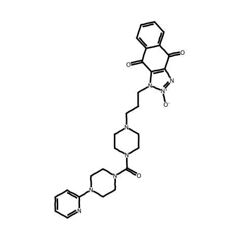 O=C1c2ccccc2C(=O)c2c1n[n+]([O-])n2CCCN1CCN(C(=O)N2CCN(c3ccccn3)CC2)CC1